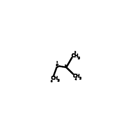 CSC(C)C